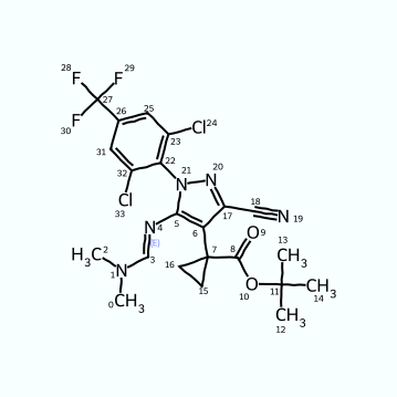 CN(C)/C=N/c1c(C2(C(=O)OC(C)(C)C)CC2)c(C#N)nn1-c1c(Cl)cc(C(F)(F)F)cc1Cl